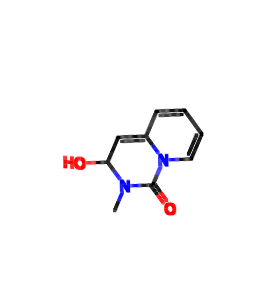 CN1C(=O)N2C=CC=CC2=CC1O